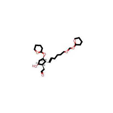 O=CC[C@@H]1[C@@H](C=CCCCCOCOC2CCCCO2)[C@H](OC2CCCCO2)C[C@@H]1O